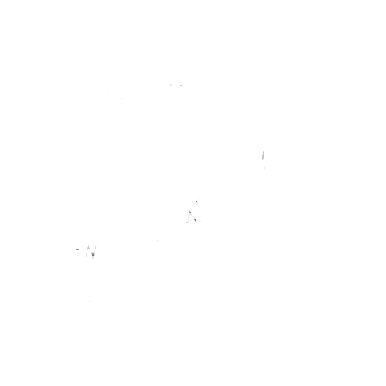 CNC(CCC(=O)I)C(=O)NCC(=O)I